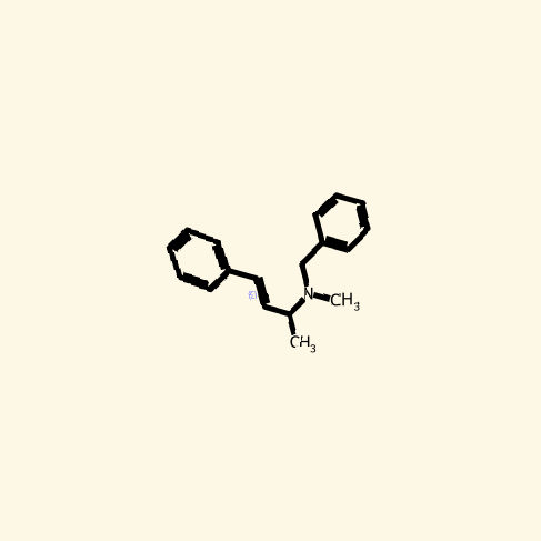 CC(/C=C/c1ccccc1)N(C)Cc1ccccc1